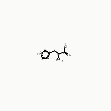 NC(Cc1c[nH]cn1)C(=O)Cl